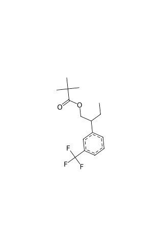 CCC(COC(=O)C(C)(C)C)c1cccc(C(F)(F)F)c1